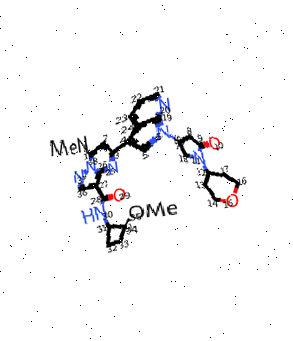 CNc1cc(-c2cn([C@H]3CC(=O)N(C4CCOCC4)C3)c3ncccc23)nc2c(C(=O)NC3CC[C@@H]3OC)cnn12